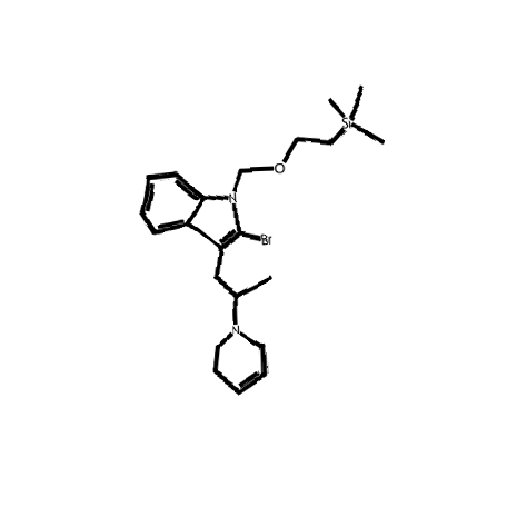 CC(Cc1c(Br)n(COCC[Si](C)(C)C)c2ccccc12)N1CC=CCC1